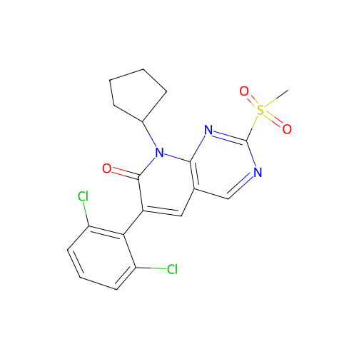 CS(=O)(=O)c1ncc2cc(-c3c(Cl)cccc3Cl)c(=O)n(C3CCCC3)c2n1